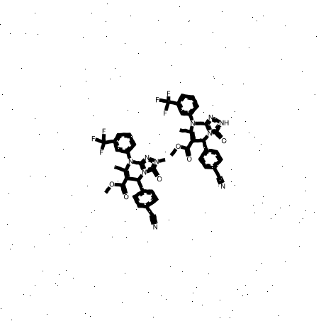 COC(=O)C1=C(C)N(c2cccc(C(F)(F)F)c2)c2n[nH]c(=O)n2C1c1ccc(C#N)cc1.COC(=O)C1=C(C)N(c2cccc(C(F)(F)F)c2)c2nn(C)c(=O)n2C1c1ccc(C#N)cc1